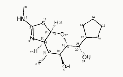 CNC1=N[C@@H]2[C@@H](F)[C@H](O)[C@@H]([C@@H](O)C3CCCC3)O[C@@H]2S1